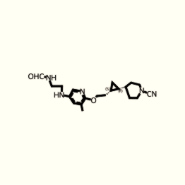 Cc1cc(NCCNC=O)cnc1OCC[C@@H]1C[C@@H]1C1CCN(C#N)CC1